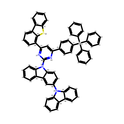 c1ccc([Si](c2ccccc2)(c2ccccc2)c2ccc(-c3cc(-c4cccc5c4sc4ccccc45)nc(-n4c5ccccc5c5cc(-n6c7ccccc7c7ccccc76)ccc54)n3)cc2)cc1